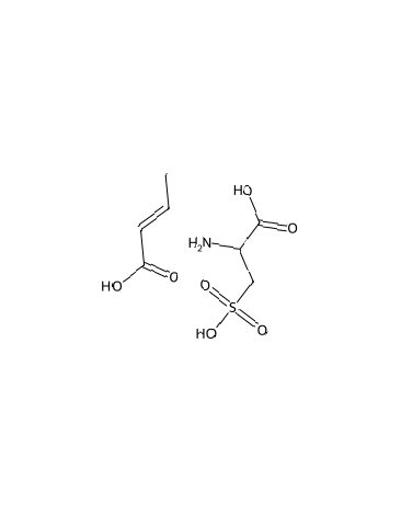 CC=CC(=O)O.NC(CS(=O)(=O)O)C(=O)O